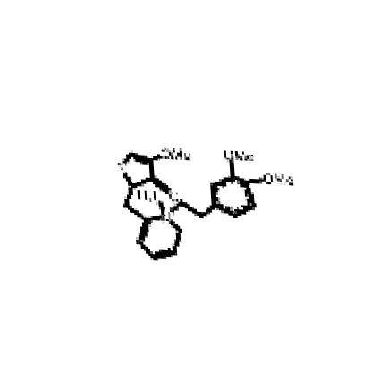 COC1=CSC(CC2=CC=CC[N+]2(C)CCc2ccc(OC)c(OC)c2)C1=O